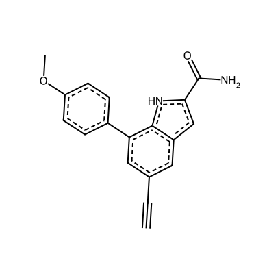 C#Cc1cc(-c2ccc(OC)cc2)c2[nH]c(C(N)=O)cc2c1